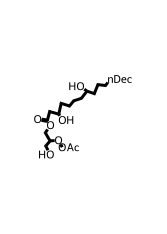 CCCCCCCCCCCCCC(O)CCCCC(O)CC(=O)OCC(CO)OOC(C)=O